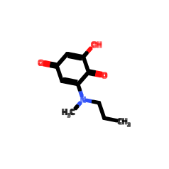 CCCN(C)C1=CC(=O)C=C(O)C1=O